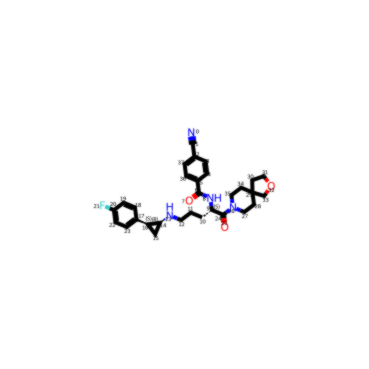 N#Cc1ccc(C(=O)N[C@@H](CCCN[C@@H]2C[C@H]2c2ccc(F)cc2)C(=O)N2CCC3(CCOC3)CC2)cc1